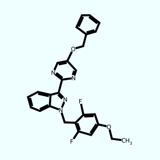 CCOc1cc(F)c(Cn2nc(-c3ncc(OCc4ccccc4)cn3)c3ccccc32)c(F)c1